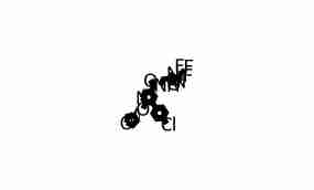 O=C(NCc1nc(C(F)(F)F)no1)c1cnc(OC[C@H]2CCOC2)c(-c2ccc(Cl)cc2)c1